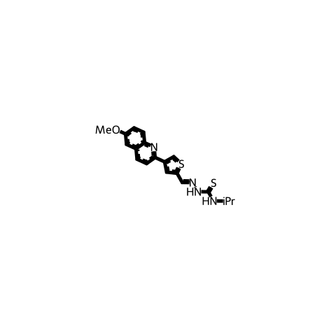 COc1ccc2nc(-c3csc(/C=N/NC(=S)NC(C)C)c3)ccc2c1